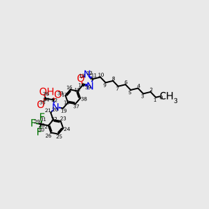 CCCCCCCCCCCc1noc(-c2ccc(CN(Cc3ccccc3C(F)(F)F)C(=O)C(=O)O)cc2)n1